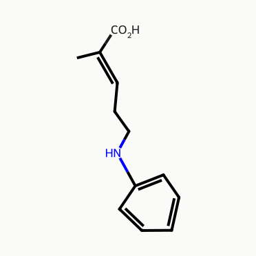 C/C(=C\CCNc1ccccc1)C(=O)O